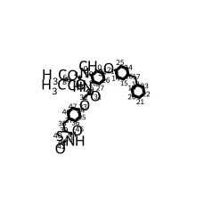 CN(C(=O)OC(C)(C)C)c1cc(Oc2ccc(Cc3ccccc3)cc2)ccc1NC(=O)COc1ccc(CC2SC(=O)NC2=O)cc1